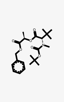 C[C@@H](OC(=O)[C@@H](N(C)C(=O)OC(C)(C)C)C(C)(C)C)C(=O)OCc1ccccc1